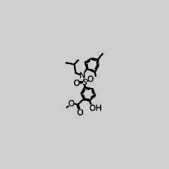 COC(=O)c1cc(S(=O)(=O)N(CC(C)C)c2ccc(C)cc2C)ccc1O